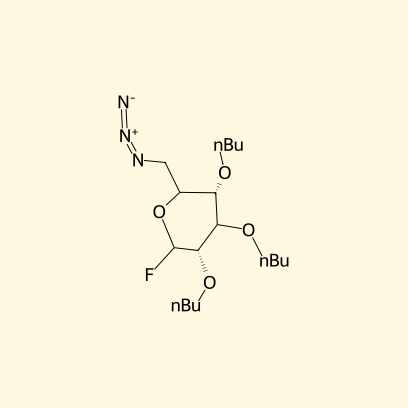 CCCCOC1[C@H](OCCCC)C(F)OC(CN=[N+]=[N-])[C@@H]1OCCCC